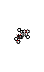 CC1(C)c2ccccc2-c2ccc(N(c3ccccc3-c3ccccc3)c3cccc4c5ccccc5n(-c5ccc(-c6ccccc6)cc5)c34)cc21